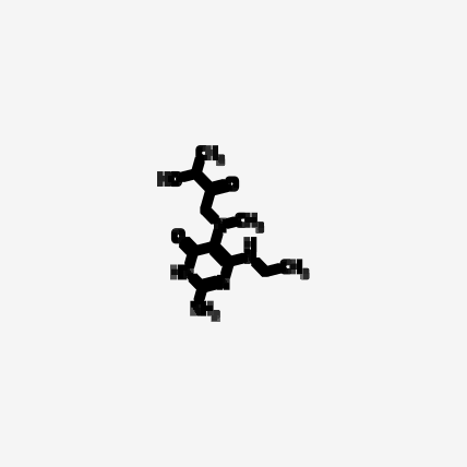 CCNc1nc(N)[nH]c(=O)c1N(C)CC(=O)C(C)O